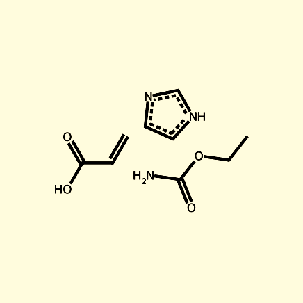 C=CC(=O)O.CCOC(N)=O.c1c[nH]cn1